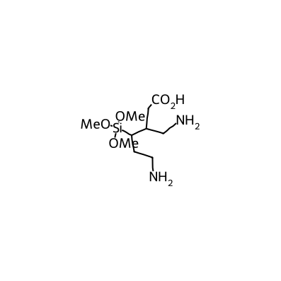 CO[Si](OC)(OC)C(CCN)C(CN)CC(=O)O